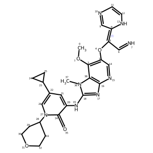 COc1c(O/C(C=N)=C2\C=NC=CN2)cnc2nc(Nc3cc(C4CC4)cn(C4CCOCC4)c3=O)n(C)c12